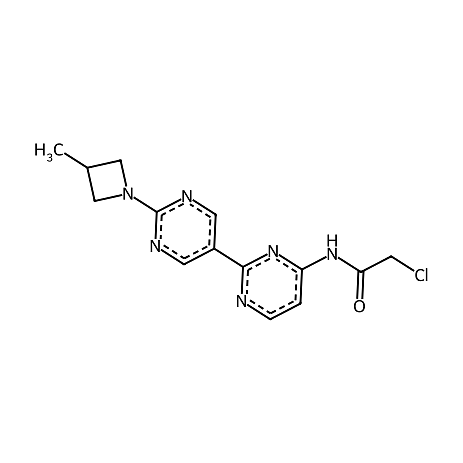 CC1CN(c2ncc(-c3nccc(NC(=O)CCl)n3)cn2)C1